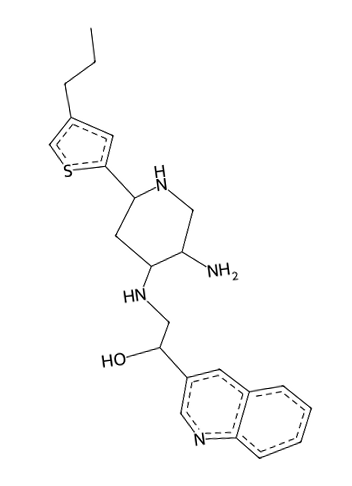 CCCc1csc(C2CC(NCC(O)c3cnc4ccccc4c3)C(N)CN2)c1